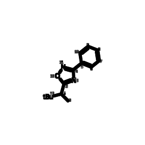 CC(c1nc(-c2ccccc2)no1)C(C)(C)C